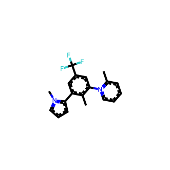 Cc1c(-c2cccn2C)cc(C(F)(F)F)cc1-[n+]1ccccc1C